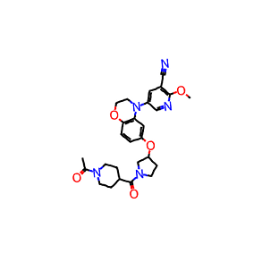 COc1ncc(N2CCOc3ccc(OC4CCN(C(=O)C5CCN(C(C)=O)CC5)C4)cc32)cc1C#N